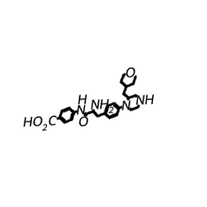 NC(Cc1ccc(N2CCNCC2CC2CCOCC2)cc1)C(=O)Nc1ccc(C(=O)O)cc1